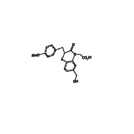 CCOC(=O)CN1C(=O)C(Cc2ccc(OC)cc2)Sc2ccc(CO)cc21